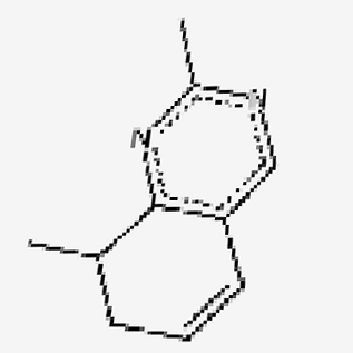 Cc1ncc2c(n1)C(C)CC=C2